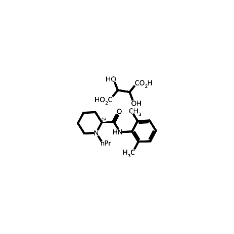 CCCN1CCCC[C@H]1C(=O)Nc1c(C)cccc1C.O=C(O)C(O)C(O)C(=O)O